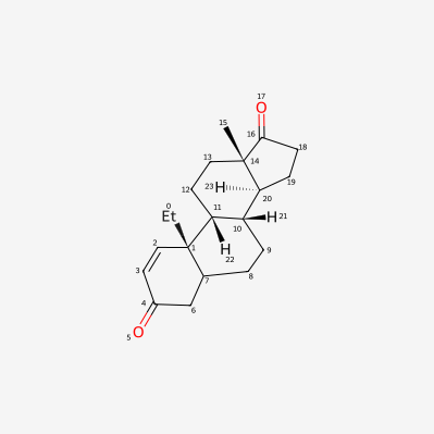 CC[C@]12C=CC(=O)CC1CC[C@@H]1[C@H]2CC[C@]2(C)C(=O)CC[C@@H]12